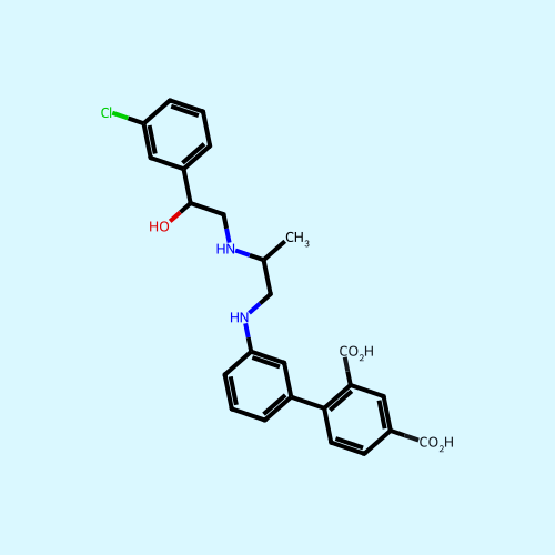 CC(CNc1cccc(-c2ccc(C(=O)O)cc2C(=O)O)c1)NCC(O)c1cccc(Cl)c1